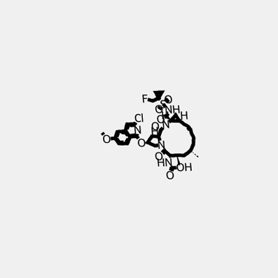 COc1ccc2c(O[C@@H]3C[C@H]4C(=O)N[C@]5(C(=O)NS(=O)(=O)C6(CF)CC6)C[C@H]5/C=C\CC[C@H](C)C[C@@H](C)[C@H](NC(=O)O)C(=O)N4C3)nc(Cl)cc2c1